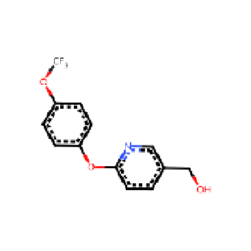 OCc1ccc(Oc2ccc(OC(F)(F)F)cc2)nc1